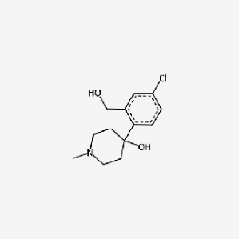 CN1CCC(O)(c2ccc(Cl)cc2CO)CC1